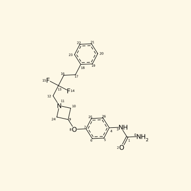 NC(=O)Nc1ccc(OC2CN(CC(F)(F)CCc3ccccc3)C2)cc1